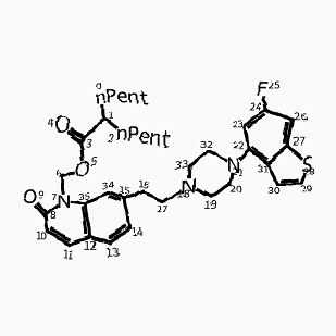 CCCCCC(CCCCC)C(=O)OCn1c(=O)ccc2ccc(CCN3CCN(c4cc(F)cc5sccc45)CC3)cc21